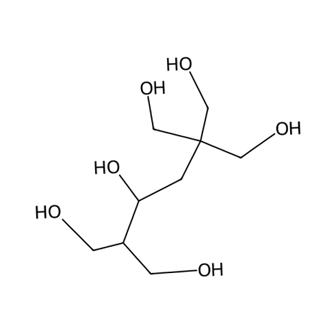 OCC(CO)C(O)CC(CO)(CO)CO